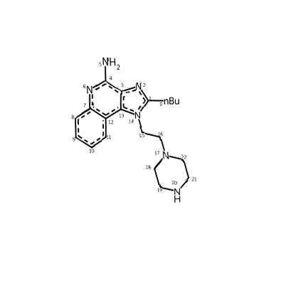 CCCCc1nc2c(N)nc3ccccc3c2n1CCN1CCNCC1